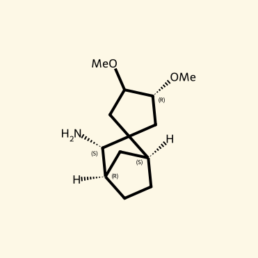 COC1CC2(C[C@H]1OC)[C@H]1CC[C@H](C1)[C@@H]2N